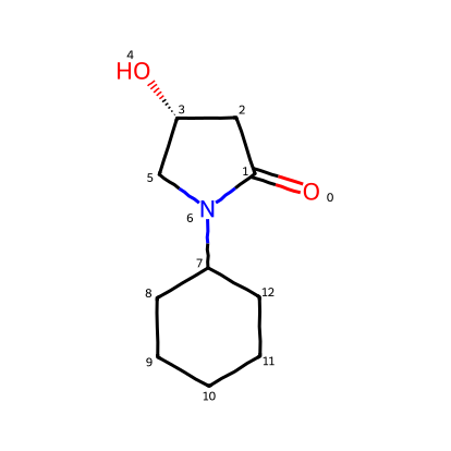 O=C1C[C@@H](O)CN1C1CCCCC1